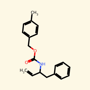 C=CC(Cc1ccccc1)NC(=O)OCc1ccc(C)cc1